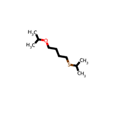 CC(C)OCCCCSC(C)C